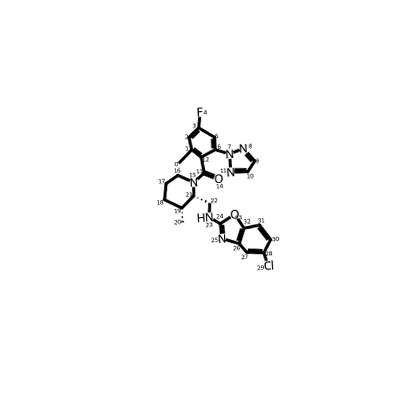 Cc1cc(F)cc(-n2nccn2)c1C(=O)N1CCC[C@@H](C)[C@H]1CNc1nc2cc(Cl)ccc2o1